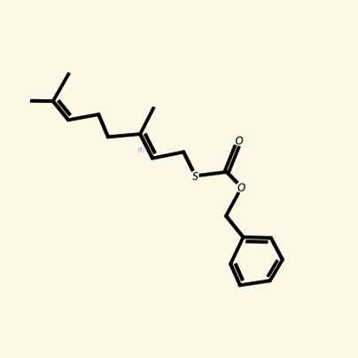 CC(C)=CCC/C(C)=C/CSC(=O)OCc1ccccc1